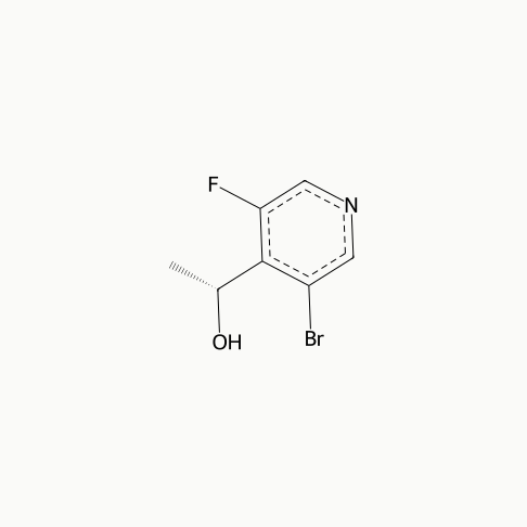 C[C@@H](O)c1c(F)cncc1Br